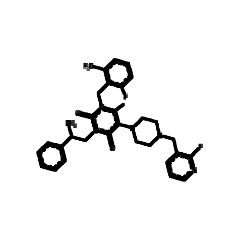 Cc1c(N2CCN(Cc3cccnc3F)CC2)c(=O)n(CC(N)c2ccccc2)c(=O)n1Cc1c(F)cccc1C(F)(F)F